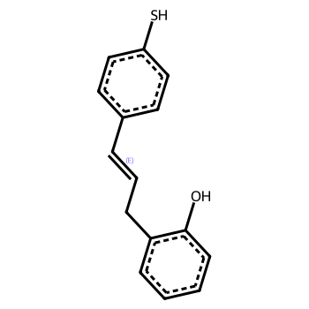 Oc1ccccc1C/C=C/c1ccc(S)cc1